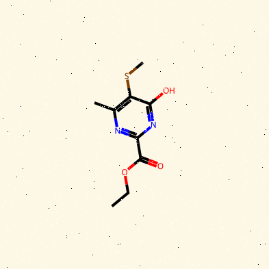 CCOC(=O)c1nc(C)c(SC)c(O)n1